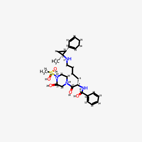 C[C@]1(NCCCC[C@H](NC(=O)c2ccccc2)C(=O)N2CCN(S(C)(=O)=O)C(=O)C2)C[C@@H]1C1=CCCC=C1